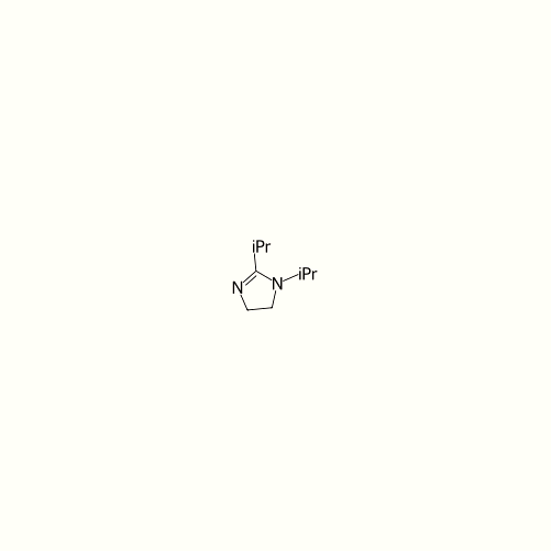 CC(C)C1=NCCN1C(C)C